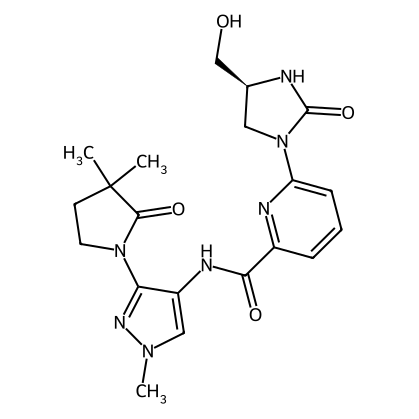 Cn1cc(NC(=O)c2cccc(N3C[C@@H](CO)NC3=O)n2)c(N2CCC(C)(C)C2=O)n1